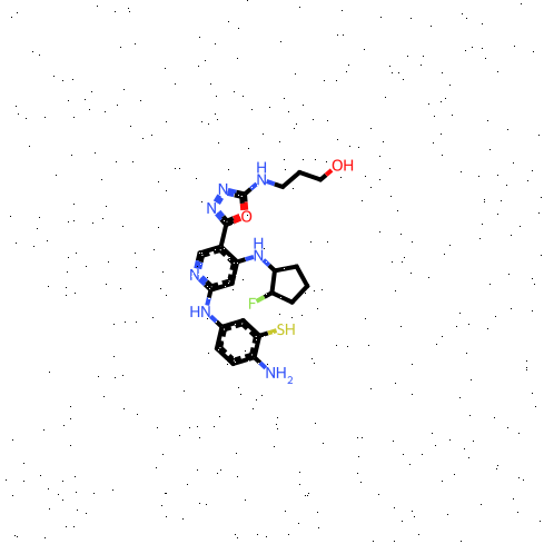 Nc1ccc(Nc2cc(NC3CCCC3F)c(-c3nnc(NCCCO)o3)cn2)cc1S